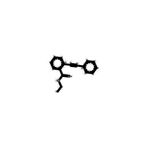 CCOC(=O)c1ccccc1C#Cc1ccccc1